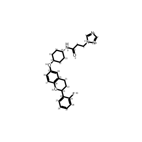 O=C(CCn1cncn1)N[C@H]1CC[C@H](Oc2ccc3c(c2)CCC(c2ccccc2F)O3)CC1